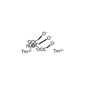 O.O=C([O-])[O-].O=C([O-])[O-].O=C([O-])[O-].[Tm+3].[Tm+3]